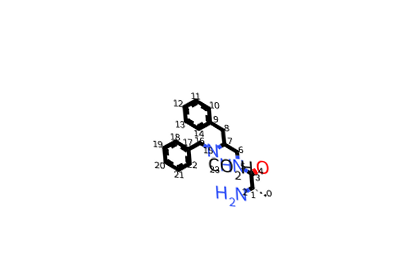 C[C@H](N)C(=O)NCC(Cc1ccccc1)N(Cc1ccccc1)C(=O)O